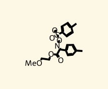 COCCOC(=O)C(=NOS(=O)(=O)c1ccc(C)cc1)c1ccc(C)cc1